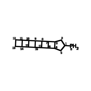 PC1CC2C(C1)C1C2C2C3C4C5CCC5C4C3C12